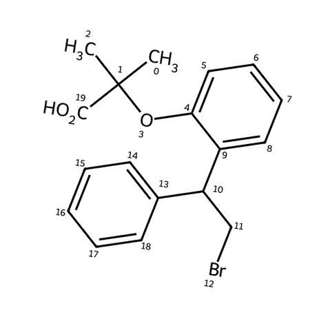 CC(C)(Oc1ccccc1C(CBr)c1ccccc1)C(=O)O